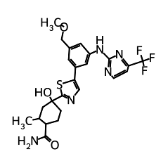 COCc1cc(Nc2nccc(C(F)(F)F)n2)cc(-c2cnc(C3(O)CCC(C(N)=O)C(C)C3)s2)c1